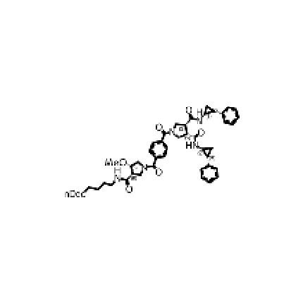 CCCCCCCCCCCCCCNC(=O)[C@@H]1CN(C(=O)c2ccc(C(=O)N3C[C@@H](C(=O)N[C@H]4C[C@@H]4c4ccccc4)[C@H](C(=O)N[C@H]4C[C@@H]4c4ccccc4)C3)cc2)C[C@H]1OC